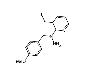 COc1ccc(CN(N)C2N=CC=CC2CI)cc1